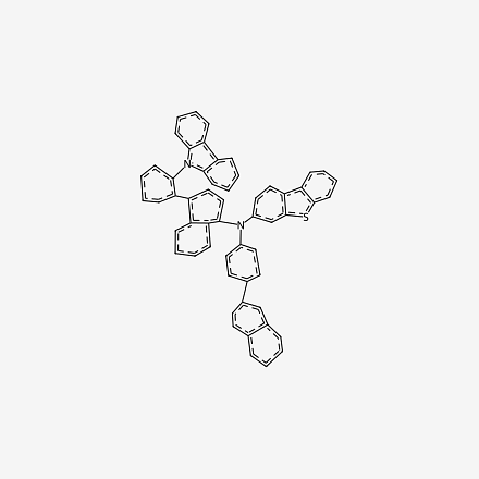 c1ccc(-n2c3ccccc3c3ccccc32)c(-c2ccc(N(c3ccc(-c4ccc5ccccc5c4)cc3)c3ccc4c(c3)sc3ccccc34)c3ccccc23)c1